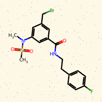 CN(c1cc(CBr)cc(C(=O)NCCc2ccc(F)cc2)c1)S(C)(=O)=O